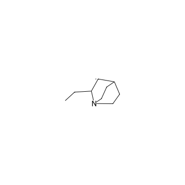 CCC1[CH]C2CCN1CC2